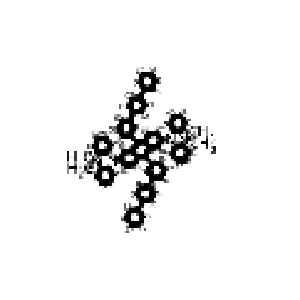 C[Si]1(C)c2ccccc2N(c2ccc3c(-c4cccc(-c5ccc(-c6ccccc6)cc5)c4)c4cc(N5c6ccccc6[Si](C)(C)c6ccccc65)ccc4c(-c4cccc(-c5ccc(-c6ccccc6)cc5)c4)c3c2)c2ccccc21